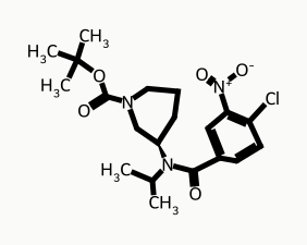 CC(C)N(C(=O)c1ccc(Cl)c([N+](=O)[O-])c1)[C@@H]1CCCN(C(=O)OC(C)(C)C)C1